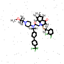 [2H]c1c(C)c([2H])c2c(=O)c([2H])c(SC([2H])([2H])c3cccc(F)c3F)n(CC(=O)N(C3CCN(C([2H])([2H])C([2H])([2H])OC)CC3)C([2H])([2H])c3ccc(-c4ccc(C(F)(F)F)cc4)cc3)c2c1[2H]